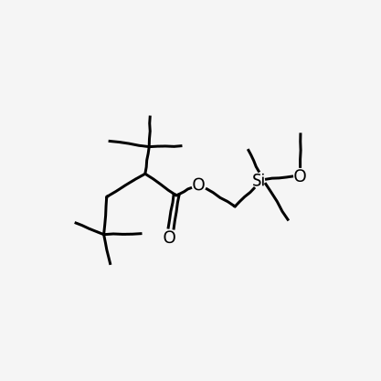 CO[Si](C)(C)COC(=O)C(CC(C)(C)C)C(C)(C)C